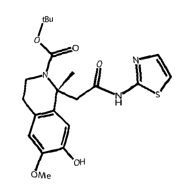 COc1cc2c(cc1O)[C@@](C)(CC(=O)Nc1nccs1)N(C(=O)OC(C)(C)C)CC2